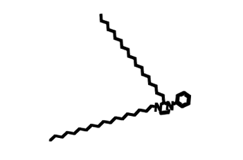 CCCCCCCCCCCCCCCCCCCC1N(CCCCCCCCCCCCCCCCCC)C=CN1c1ccccc1